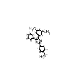 Cc1cc(C)cc(-c2nc(-c3ccc(CS)cc3)sc2-c2ccncc2)c1